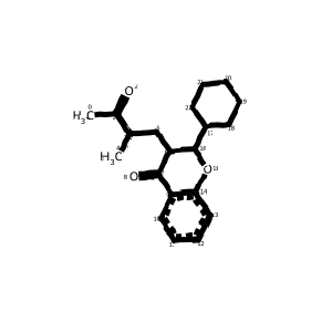 CC(=O)C(C)CC1C(=O)c2ccccc2OC1C1CCCCC1